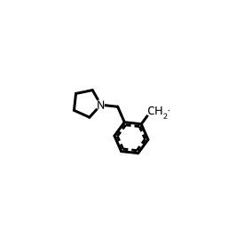 [CH2]c1ccccc1CN1CCCC1